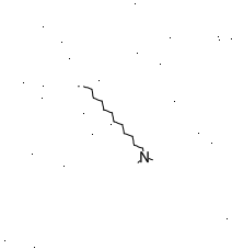 [CH2]CCCCCCCCCCCN(C)C